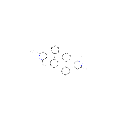 CC(C)(C)c1cc(-c2ccccc2-c2ccccc2-c2ccccc2-c2ccccc2-c2cc(C(C)(C)C)nc(C(C)(C)C)c2)cc(C(C)(C)C)n1